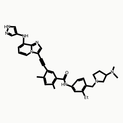 CCc1cc(NC(=O)c2cc(C#Cc3cnc4c(Nc5cn[nH]c5)cccn34)c(C)cc2C)ccc1CN1CCC(N(C)C)C1